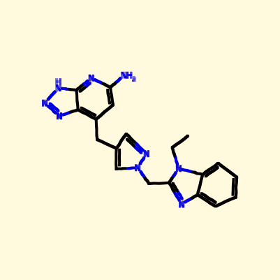 CCn1c(Cn2cc(Cc3cc(N)nc4[nH]nnc34)cn2)nc2ccccc21